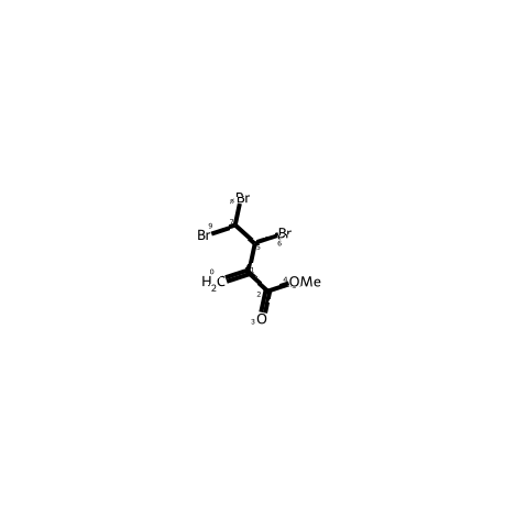 C=C(C(=O)OC)C(Br)C(Br)Br